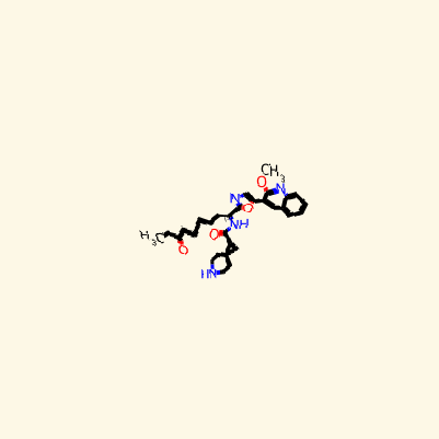 CCC(=O)CCCCC[C@H](NC(=O)C1CC12CCNCC2)c1ncc(-c2cc3ccccc3nc2OC)o1